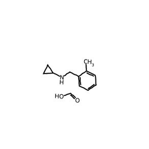 Cc1ccccc1CNC1CC1.O=CO